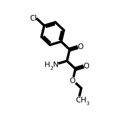 CCOC(=O)C(N)C(=O)c1ccc(Cl)cc1